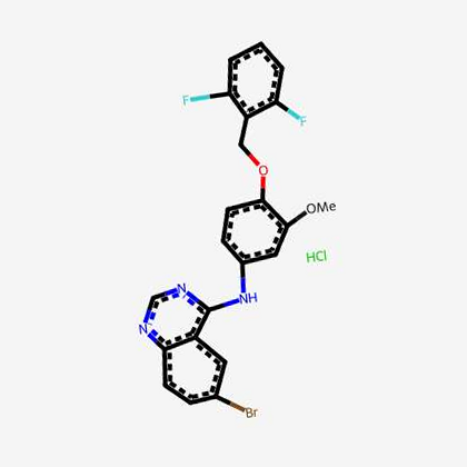 COc1cc(Nc2ncnc3ccc(Br)cc23)ccc1OCc1c(F)cccc1F.Cl